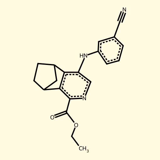 CCOC(=O)c1ncc(Nc2cccc(C#N)c2)c2c1C1CCC2C1